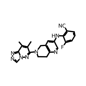 Cc1c(N2CCc3ncc(Nc4c(F)cccc4C#N)cc3C2)nn2cnnc2c1C